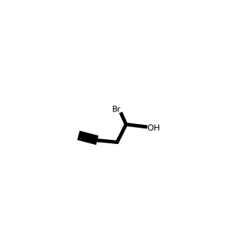 C#CCC(O)Br